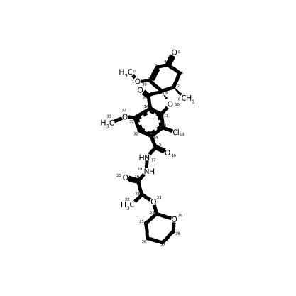 COC1=CC(=O)C[C@@H](C)[C@]12Oc1c(Cl)c(C(=O)NNC(=O)C(C)OC3CCCCO3)cc(OC)c1C2=O